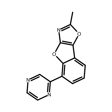 Cc1nc2oc3c(-c4cnccn4)cccc3c2o1